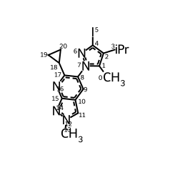 Cc1c(C(C)C)c(I)nn1-c1cc2cn(C)nc2nc1C1CC1